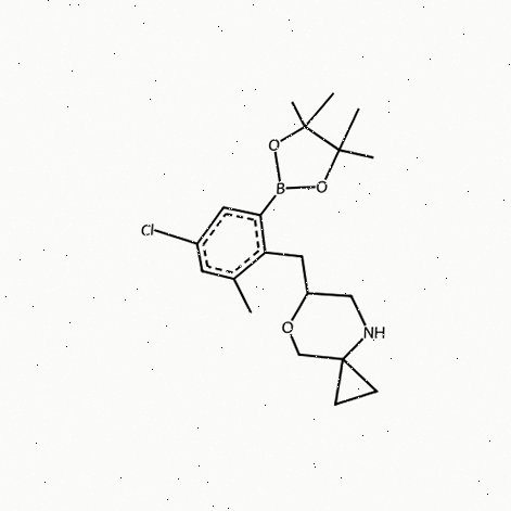 Cc1cc(Cl)cc(B2OC(C)(C)C(C)(C)O2)c1CC1CNC2(CC2)CO1